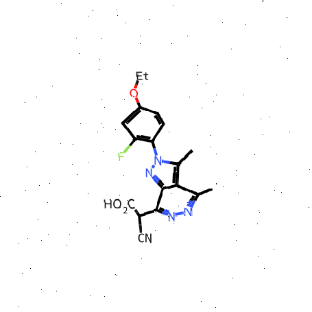 CCOc1ccc(-n2nc3c(C(C#N)C(=O)O)nnc(C)c3c2C)c(F)c1